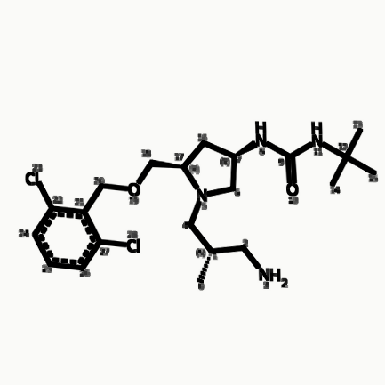 C[C@@H](CN)CN1C[C@H](NC(=O)NC(C)(C)C)C[C@@H]1COCc1c(Cl)cccc1Cl